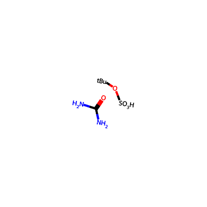 CC(C)(C)OS(=O)(=O)O.NC(N)=O